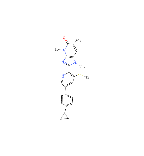 CCSc1cc(-c2ccc(C3CC3)cc2)cnc1-c1nc2c(cc(C(F)(F)F)c(=O)n2CC)n1C